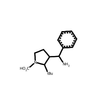 CC(C)(C)C1C(C(N)c2ccccc2)CCN1C(=O)O